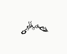 O=C(c1c[nH]c2ccc(OCc3ccccc3)cc12)C1CSN(c2cccnc2)C1